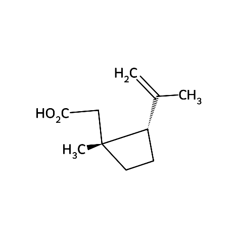 C=C(C)[C@@H]1CC[C@]1(C)CC(=O)O